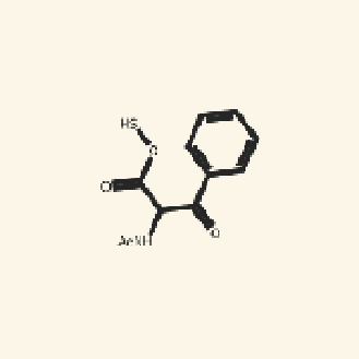 CC(=O)NC(C(=O)OS)C(=O)c1ccccc1